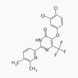 Cc1ccc(-c2nc(C(F)(F)F)c(Oc3ccc(Cl)c(Cl)c3)c(=O)[nH]2)nc1C